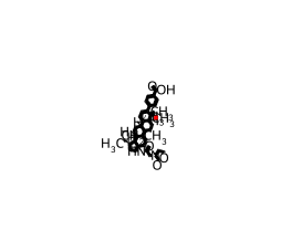 C=C(C)[C@@H]1CC[C@]2(NC(=O)CN3CCOC3=O)CC[C@]3(C)[C@H](CC[C@@H]4[C@@]5(C)CC=C(c6ccc(C(=O)O)cc6)C(C)(C)[C@@H]5CC[C@]43C)[C@@H]12